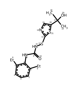 CCc1cccc(CC)c1NC(=O)NSc1ncc(C(C)(C)O)s1